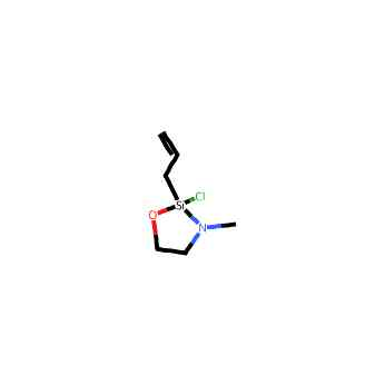 C=CC[Si]1(Cl)OCCN1C